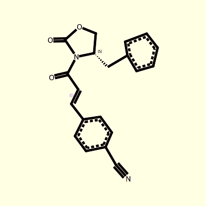 N#Cc1ccc(/C=C/C(=O)N2C(=O)OC[C@@H]2Cc2ccccc2)cc1